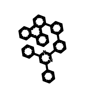 c1ccc(-c2cc(-c3ccccc3)nc(-c3cccc(-c4cccc(-c5cccc6c7ccccc7c7ccccc7c56)c4)c3)n2)cc1